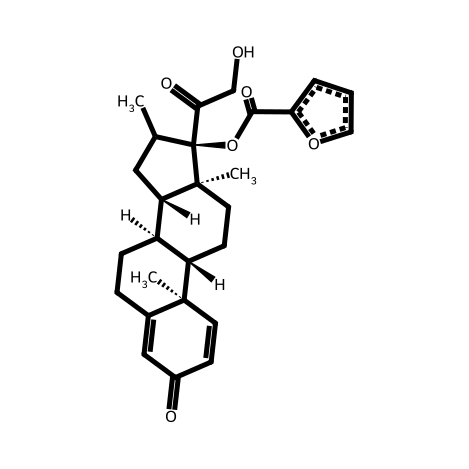 CC1C[C@H]2[C@@H]3CCC4=CC(=O)C=C[C@]4(C)[C@H]3CC[C@]2(C)[C@@]1(OC(=O)c1ccco1)C(=O)CO